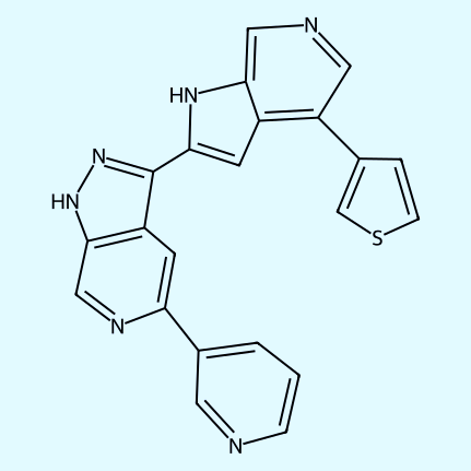 c1cncc(-c2cc3c(-c4cc5c(-c6ccsc6)cncc5[nH]4)n[nH]c3cn2)c1